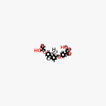 Cc1cc(OCC2(CO)COC2)ccc1-c1cccc(COc2ccc(C3(CC(=O)O)COC3)cc2)c1C